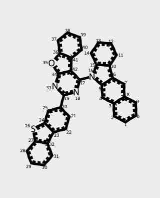 c1ccc2cc3c(cc2c1)c1ccccc1n3-c1nc(-c2ccc3c(c2)sc2ccccc23)nc2oc3ccccc3c12